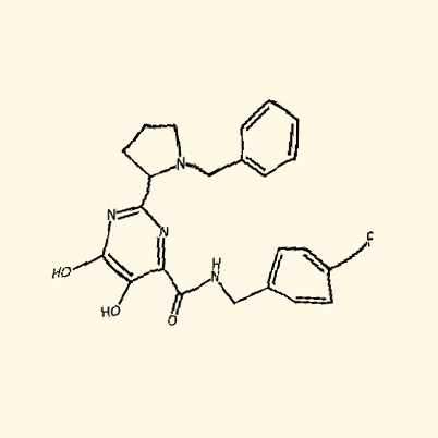 O=C(NCc1ccc(F)cc1)c1nc(C2CCCN2Cc2ccccc2)nc(O)c1O